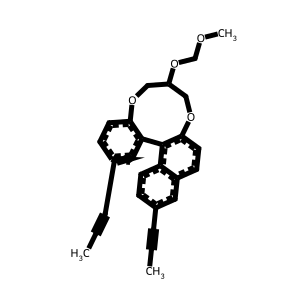 CC#Cc1ccc2c3c(ccc2c1)OCC(OCOC)COc1ccc2cc(C#CC)ccc2c1-3